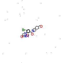 O=CC1CCC2(CC1)CCN(C(=O)c1ccc(Br)c(N3CCC(=O)NC3=O)c1)CC2